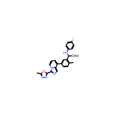 COC(Nc1ccc(F)cc1)c1cc(-c2cccn3c(-c4nnc(C)o4)ncc23)ccc1C